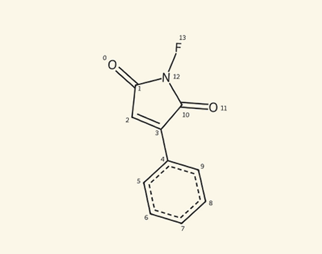 O=C1C=C(c2ccccc2)C(=O)N1F